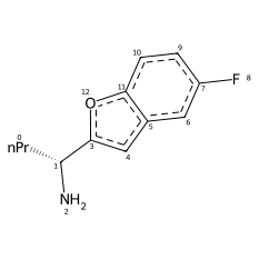 CCC[C@@H](N)c1cc2cc(F)ccc2o1